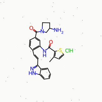 Cc1ccsc1C(=O)Nc1cc(C(=O)N2CCC(N)C2)ccc1C=Cc1n[nH]c2ccccc12.Cl